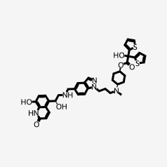 CN(CCCn1ncc2cc(CNC[C@H](O)c3ccc(O)c4[nH]c(=O)ccc34)ccc21)[C@H]1CC[C@H](OC(=O)C(O)(c2cccs2)c2cccs2)CC1